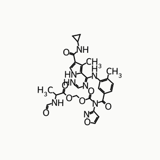 Cc1ccc(C(=O)N(C(=O)OCOC(=O)C(C)NC=O)c2ccon2)cc1N/C(=N/C=N)c1[nH]cc(C(=O)NC2CC2)c1C